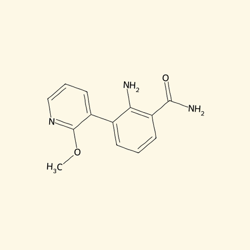 COc1ncccc1-c1cccc(C(N)=O)c1N